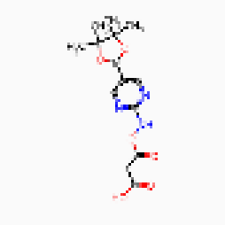 CC1(C)OB(c2cnc(NOC(=O)CC(=O)O)nc2)OC1(C)C